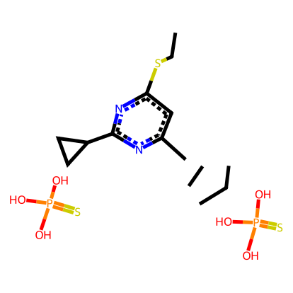 CC.CCC.CCSc1cc(C)nc(C2CC2)n1.OP(O)(O)=S.OP(O)(O)=S